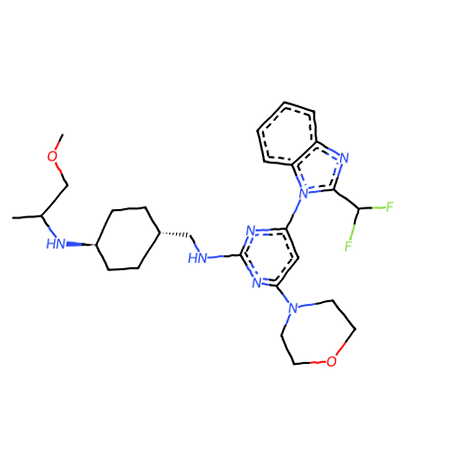 COCC(C)N[C@H]1CC[C@H](CNc2nc(N3CCOCC3)cc(-n3c(C(F)F)nc4ccccc43)n2)CC1